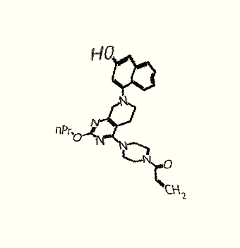 C=CC(=O)N1CCN(c2nc(OCCC)nc3c2CCN(c2cc(O)cc4ccccc24)C3)CC1